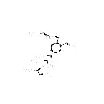 C=CC(=O)O.C=CC(=O)O.C=CC(=O)O.C=CC(=O)OC.C=Cc1ccccc1C=C